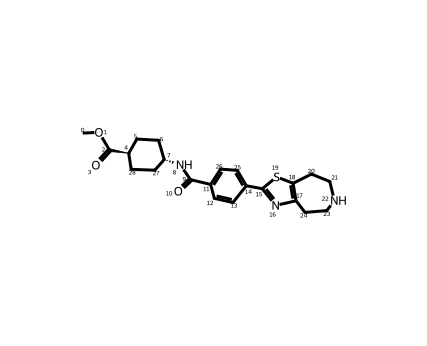 COC(=O)[C@H]1CC[C@H](NC(=O)c2ccc(-c3nc4c(s3)CCNCC4)cc2)CC1